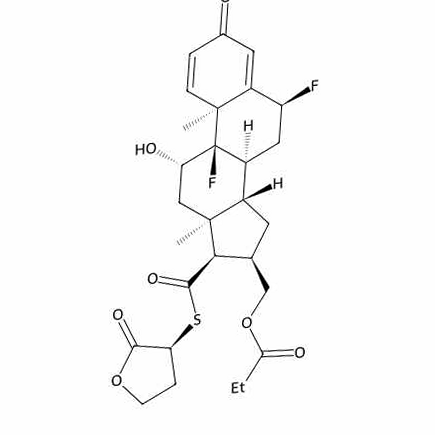 CCC(=O)OC[C@@H]1C[C@H]2[C@@H]3C[C@H](F)C4=CC(=O)C=C[C@]4(C)[C@@]3(F)[C@@H](O)C[C@]2(C)[C@@H]1C(=O)S[C@H]1CCOC1=O